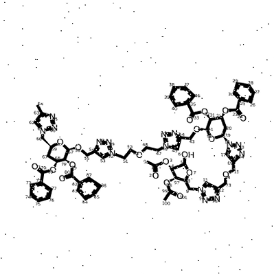 CC(=O)O[C@@H]1C(O)OC(Cn2cc(COCc3cn([C@@H]4C[C@H](OC(=O)c5ccccc5)[C@H](OC(=O)c5ccccc5)[C@H](OCc5cn(CCOCCn6cc(CO[C@@H]7O[C@H](Cn8cc(C)nn8)C[C@H](OC(=O)c8ccccc8)[C@@H]7OC(=O)c7ccccc7)nn6)nn5)O4)nn3)nn2)[C@H]1OC(C)=O